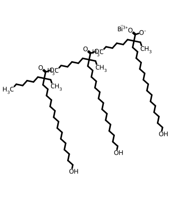 CCCCCCC(CC)(CCCCCCCCCCCCCCCCO)C(=O)[O-].CCCCCCC(CC)(CCCCCCCCCCCCCCCCO)C(=O)[O-].CCCCCCC(CC)(CCCCCCCCCCCCCCCCO)C(=O)[O-].[Bi+3]